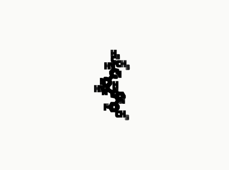 Cc1cc(F)cc(-c2nccc3[nH]c(-c4n[nH]c5ncc(-c6cncc(NC(C)C)c6)cc45)cc23)c1